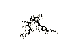 CCNC(=O)C1OC(n2cnc3c(N)nc(CC(C)C4CCC(C(=O)OC)CC4)nc32)C(O)C1O